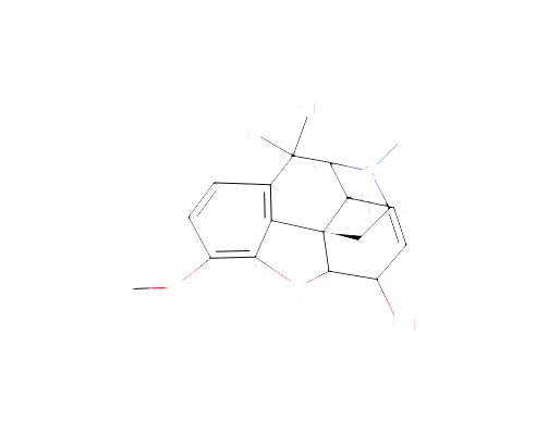 [2H]C1([2H])c2ccc(OC)c3c2[C@]24CCN(C)[C@H]1[C@]2([2H])C=CC(O)C4O3